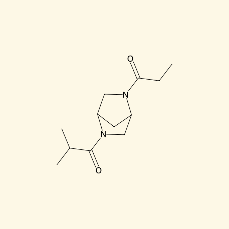 CCC(=O)N1CC2CC1CN2C(=O)C(C)C